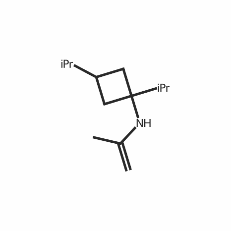 C=C(C)NC1(C(C)C)CC(C(C)C)C1